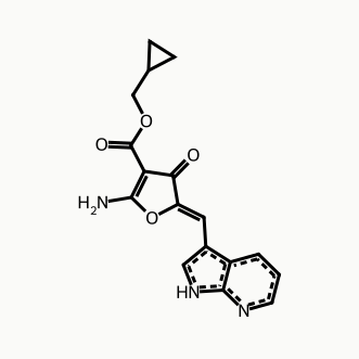 NC1=C(C(=O)OCC2CC2)C(=O)/C(=C/c2c[nH]c3ncccc23)O1